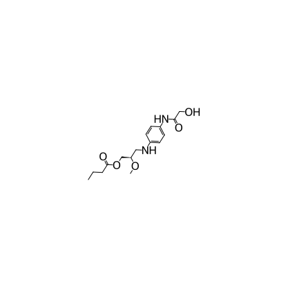 CCCC(=O)OC[C@@H](CNc1ccc(NC(=O)CO)cc1)OC